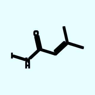 CC(C)=CC(=O)NI